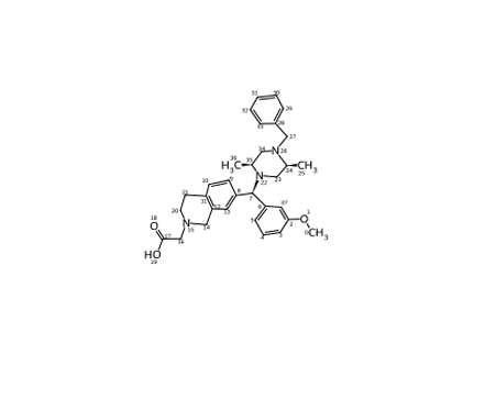 COc1cccc([C@@H](c2ccc3c(c2)CN(CC(=O)O)CC3)N2C[C@H](C)N(Cc3ccccc3)C[C@@H]2C)c1